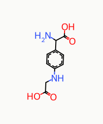 NC(C(=O)O)c1ccc(NCC(=O)O)cc1